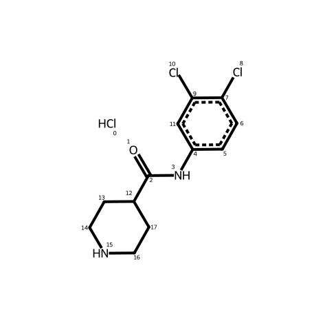 Cl.O=C(Nc1ccc(Cl)c(Cl)c1)C1CCNCC1